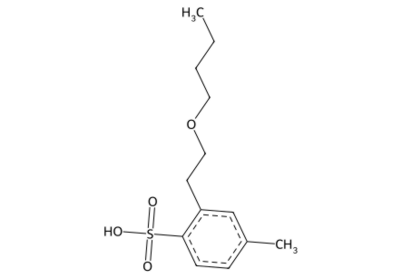 CCCCOCCc1cc(C)ccc1S(=O)(=O)O